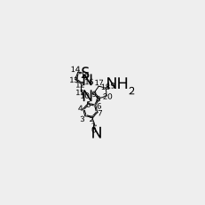 N#Cc1ccc2c(c1)c1c(n2Cc2ccsn2)C[C@H](N)C1